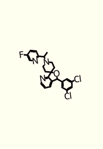 CC(c1ccc(F)cn1)N1CCC2(CC1)OC(c1cc(Cl)cc(Cl)c1)c1cccnc12